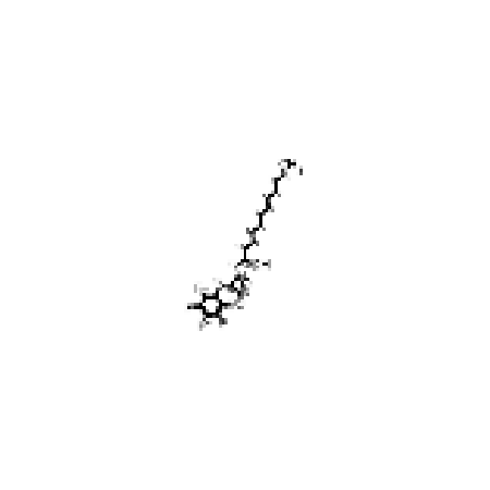 CCCCCCCCCCCC(O)C[C@H]1OC(=O)[C@@H]1Cc1c(F)c(F)c(F)c(F)c1F